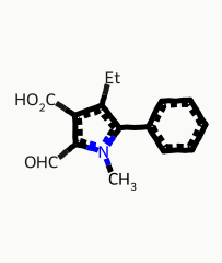 CCc1c(C(=O)O)c(C=O)n(C)c1-c1ccccc1